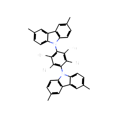 Cc1ccc2c(c1)c1cc(C)ccc1n2-c1c(C#N)c(C(C)(C)C)c(-n2c3ccc(C)cc3c3cc(C)ccc32)c(C(C)(C)C)c1C#N